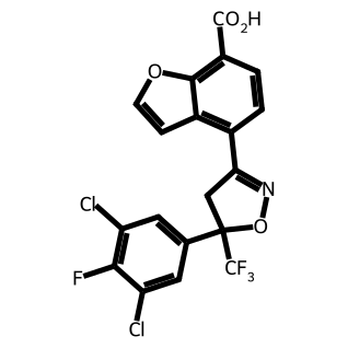 O=C(O)c1ccc(C2=NOC(c3cc(Cl)c(F)c(Cl)c3)(C(F)(F)F)C2)c2ccoc12